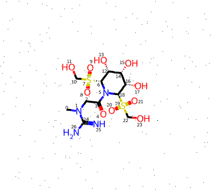 CN(CC(=O)N1[C@H](S(=O)(=O)CO)[C@H](O)[C@H](O)[C@H](O)[C@H]1S(=O)(=O)CO)C(=N)N